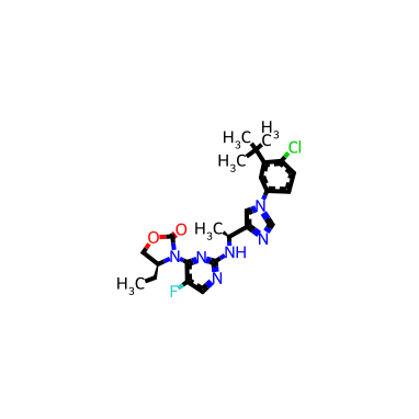 CC[C@H]1COC(=O)N1c1nc(N[C@@H](C)c2cn(-c3ccc(Cl)c(C(C)(C)C)c3)cn2)ncc1F